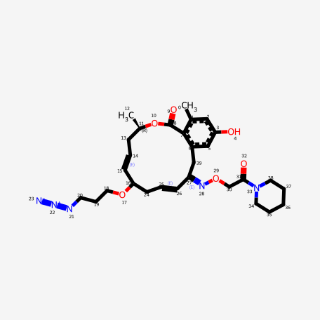 Cc1cc(O)cc2c1C(=O)O[C@H](C)C/C=C/C(OCCCN=[N+]=[N-])C/C=C/C(=N/OCC(=O)N1CCCCC1)C2